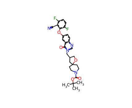 CC(C)(C)OC(=O)N1CCC2(CC1)CC(Cn1cnc3ccc(Oc4c(F)ccc(F)c4C#N)cc3c1=O)CO2